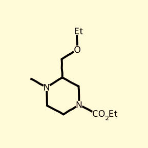 CCOCC1CN(C(=O)OCC)CCN1C